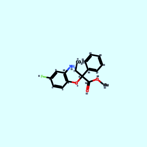 CCOC(=O)CC(Oc1ccc(F)cc1N)(C(=O)OC(C)(C)C)c1ccccc1